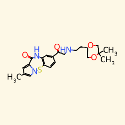 Cc1cc2n(c1)Sc1ccc(C(=O)CNCC[C@@H]3COC(C)(C)CO3)cc1NC2=O